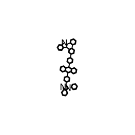 c1ccc(-n2c(-c3ccc(-c4c5ccccc5c(-c5ccc(-c6ccc7c(c6)C6C(=Nc8ccccc86)c6ccccc6-7)cc5)c5ccccc45)cc3)nc3ccccc32)cc1